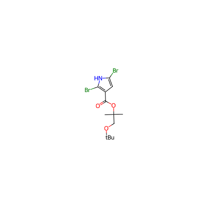 CC(C)(C)OCC(C)(C)OC(=O)c1cc(Br)[nH]c1Br